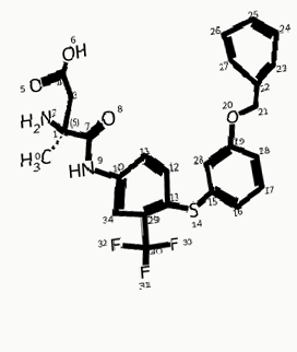 C[C@](N)(CC(=O)O)C(=O)Nc1ccc(Sc2cccc(OCc3ccccc3)c2)c(C(F)(F)F)c1